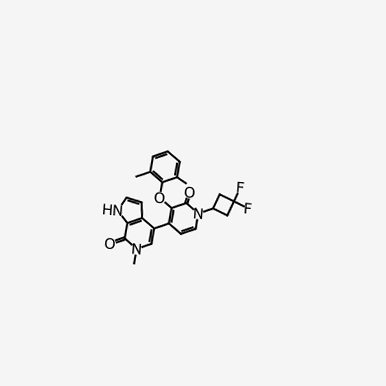 Cc1cccc(C)c1Oc1c(-c2cn(C)c(=O)c3[nH]ccc23)ccn(C2CC(F)(F)C2)c1=O